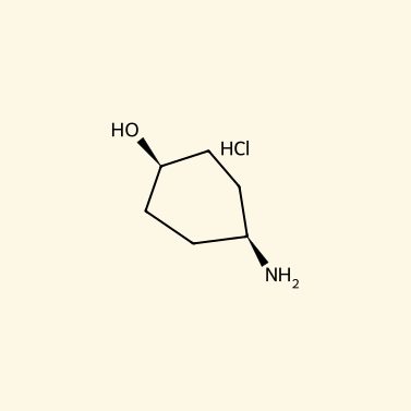 Cl.N[C@H]1CC[C@@H](O)CC1